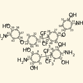 Nc1c(O)cc(C(c2cc(O)c(N)c(O)c2)(C(F)(F)F)C(F)(F)F)cc1O.Nc1cc(Oc2ccc(C(c3ccc(Oc4ccc(O)c(N)c4)cc3)(C(F)(F)F)C(F)(F)F)cc2)ccc1O